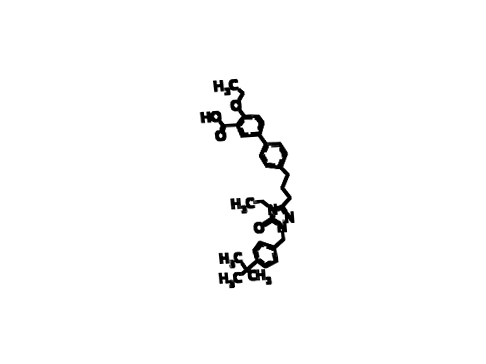 CCOc1ccc(-c2ccc(CCCc3nn(Cc4ccc(C(C)(C)C)cc4)c(=O)n3CC)cc2)cc1C(=O)O